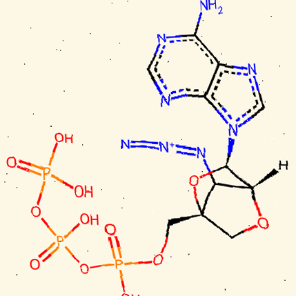 [N-]=[N+]=NC1[C@H]2OC[C@]1(COP(=O)(O)OP(=O)(O)OP(=O)(O)O)O[C@H]2n1cnc2c(N)ncnc21